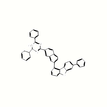 C1=CCC(C2N=C(c3ccc4ccc(-c5cccc6oc7cc(-c8ccccc8)ccc7c56)cc4c3)N=C(c3ccccc3)N2)C=C1